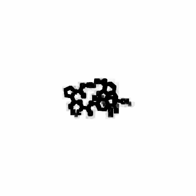 COc1ccc2c3c1O[C@H]1C(OC(=O)C(C)OC(=O)C4CCCN4C(=O)OC(C)(C)C)=CC[C@@]4(O)[C@@H](C2)N(C)CC[C@]314